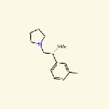 CN[C@@H](CN1CCCC1)c1cccc(C)c1